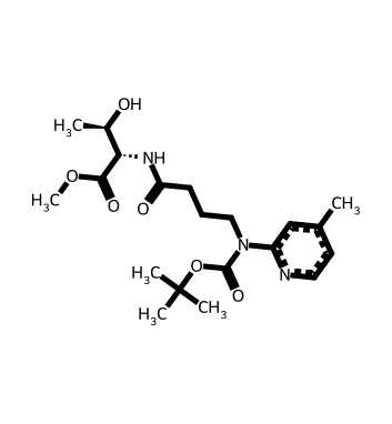 COC(=O)[C@@H](NC(=O)CCCN(C(=O)OC(C)(C)C)c1cc(C)ccn1)[C@@H](C)O